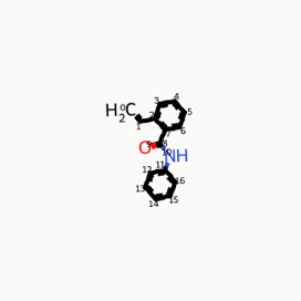 C=Cc1ccccc1C(=O)Nc1ccccc1